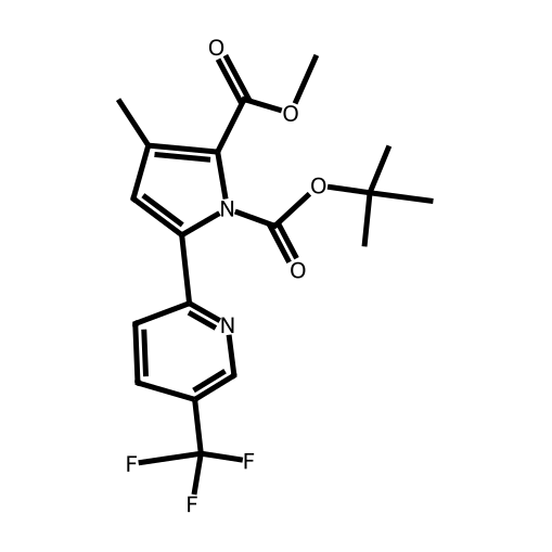 COC(=O)c1c(C)cc(-c2ccc(C(F)(F)F)cn2)n1C(=O)OC(C)(C)C